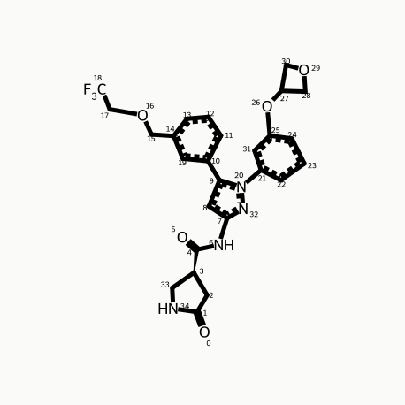 O=C1C[C@H](C(=O)Nc2cc(-c3cccc(COCC(F)(F)F)c3)n(-c3cccc(OC4COC4)c3)n2)CN1